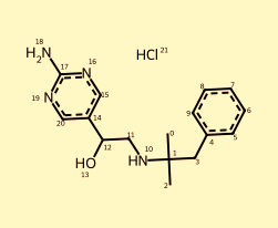 CC(C)(Cc1ccccc1)NCC(O)c1cnc(N)nc1.Cl